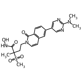 CN(C)c1ncc(-c2ccc3c(=O)n(CCC(C)(C(=O)NO)S(C)(=O)=O)ccc3c2)cn1